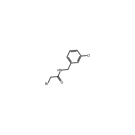 O=C(CBr)NCc1cccc(Cl)c1